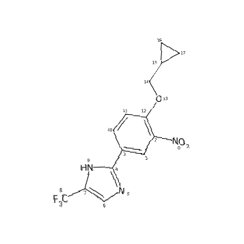 O=[N+]([O-])c1cc(-c2ncc(C(F)(F)F)[nH]2)ccc1OCC1CC1